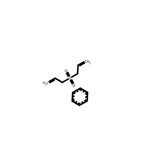 C=CCS(=O)(=O)CC=C.c1ccccc1